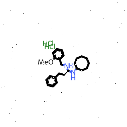 COc1ccccc1CN[C@H](CCc1ccccc1)NC1CCCCCCC1.Cl.Cl